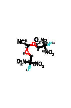 N#CC(OCC(F)([N+](=O)[O-])[N+](=O)[O-])OCC(F)([N+](=O)[O-])[N+](=O)[O-]